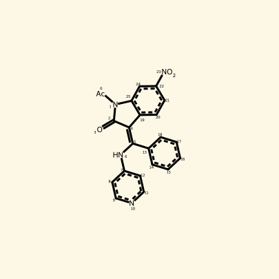 CC(=O)N1C(=O)/C(=C(\Nc2ccncc2)c2ccccc2)c2ccc([N+](=O)[O-])cc21